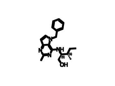 CC[C@H](C)[C@@H](CO)Nc1nc(C)nc2ccn(Cc3ccccc3)c12